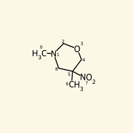 CN1COCC(C)([N+](=O)[O-])C1